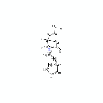 C=C(C)/C(=C(/C)C(C)(C)CCCC)C(C)Nc1ccccn1